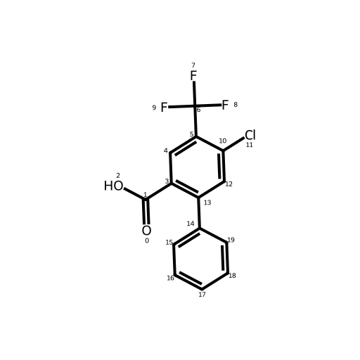 O=C(O)c1cc(C(F)(F)F)c(Cl)cc1-c1ccccc1